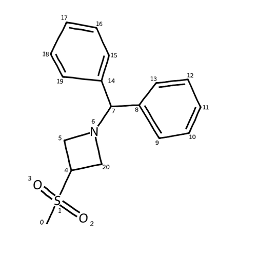 CS(=O)(=O)C1CN(C(c2ccccc2)c2ccccc2)C1